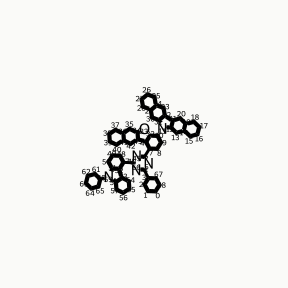 c1ccc(-c2nc(-c3ccc(-n4c5cc6ccccc6cc5c5cc6ccccc6cc54)c4oc5cc6ccccc6cc5c34)nc(-c3cccc4c3c3ccccc3n4-c3ccccc3)n2)cc1